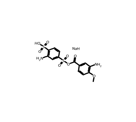 COc1ccc(C(=O)OS(=O)(=O)c2ccc(S(=O)(=O)O)c(N)c2)cc1N.[NaH]